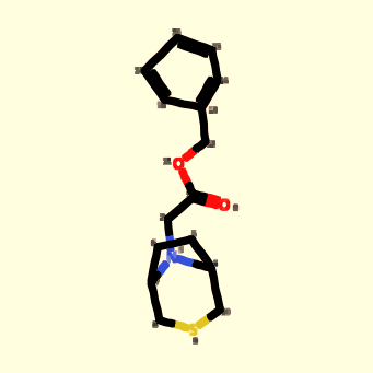 O=C(CN1C2CCC1CSC2)OCc1ccccc1